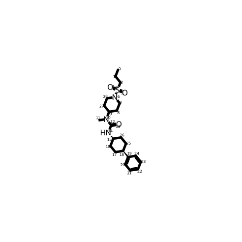 CCCS(=O)(=O)N1CCC(N(C)C(=O)N[C@H]2CC[C@H](c3ccccc3)CC2)CC1